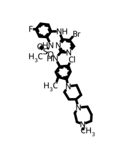 Cc1cc(Nc2ncc(Br)c(Nc3ccc(F)cc3NS(C)(=O)=O)n2)c(Cl)cc1N1CCC(N2CCCN(C)CC2)CC1